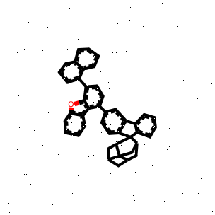 c1ccc2c(c1)-c1cc(-c3ccc(-c4cccc5ccccc45)c4oc5ccccc5c34)ccc1C21C2CC3CC(C2)CC1C3